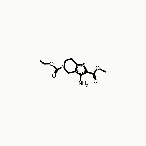 CCOC(=O)N1CCc2sc(C(=O)OC)c(N)c2C1